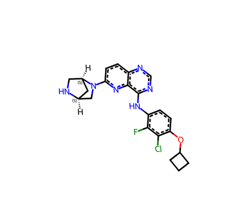 Fc1c(Nc2ncnc3ccc(N4C[C@@H]5C[C@H]4CN5)nc23)ccc(OC2CCC2)c1Cl